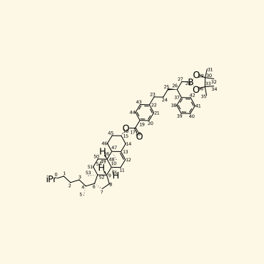 CC(C)CCC[C@@H](C)[C@H]1CC[C@H]2[C@@H]3CC=C4C[C@@H](OC(=O)c5ccc(CCC[C@@H](CB6OC(C)(C)C(C)(C)O6)c6ccccc6)cc5)CC[C@]4(C)[C@H]3CC[C@]12C